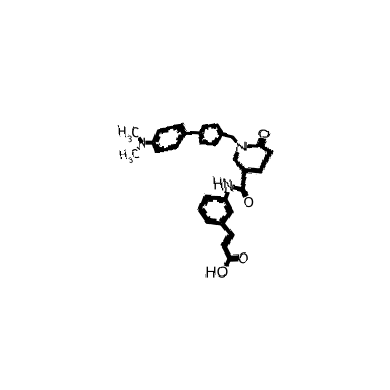 CN(C)c1ccc(-c2ccc(CN3CC(C(=O)Nc4cccc(/C=C/C(=O)O)c4)CCC3=O)cc2)cc1